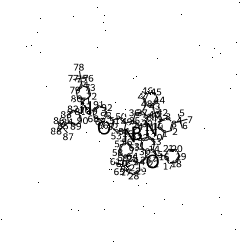 Cc1cc(C(C)(C)C)ccc1N1c2cc3c(-c4ccccc4)oc(-c4ccccc4)c3cc2B2c3c(cc4c(c31)C(C)(C)c1ccccc1-4)-c1cc3c(cc1N2c1ccc(C(C)(C)C)cc1)oc1cc(N(c2ccc(C(C)(C)C)cc2)c2ccc(C(C)(C)C)cc2)ccc13